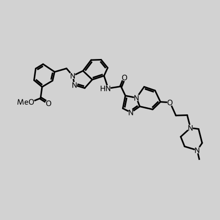 COC(=O)c1cccc(Cn2ncc3c(NC(=O)c4cnc5cc(OCCN6CCN(C)CC6)ccn45)cccc32)c1